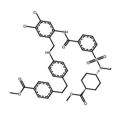 CCN([C@H]1CC[C@H](C(=O)OC)CC1)S(=O)(=O)c1cccc(C(=O)Nc2cc(Cl)c(Cl)cc2CNc2ccc(CCc3ccc(C(=O)OC)cc3)cc2)c1